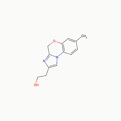 Cc1ccc2c(c1)OCc1nc(CCO)cn1-2